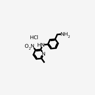 Cc1ccc([N+](=O)[O-])c(Nc2cccc(CN)c2)n1.Cl